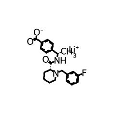 C[C@H](NC(=O)[C@H]1CCCCN1Cc1cccc(F)c1)c1ccc(C(=O)[O-])cc1.[Li+]